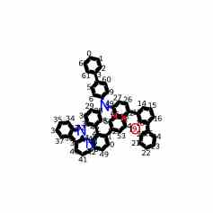 c1ccc(-c2ccc(N(c3ccc(-c4cccc5c4oc4ccccc45)cc3)c3ccc(-n4c5ccccc5c5cccnc54)c(-c4ccccc4-c4ccccc4)c3)cc2)cc1